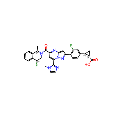 C[C@@H]1c2ccccc2[C@H](F)CN1C(=O)c1cc(-c2nccn2C)n2nc(-c3ccc([C@H]4C[C@@H]4C(=O)O)cc3F)cc2n1